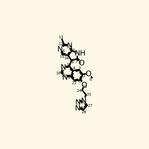 COc1cc2c(C3C(=O)Nc4nc(C)ncc43)ncnc2cc1OCCn1ccnn1